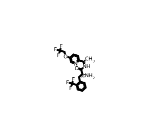 C[C@@H](NC(=O)[C@H](N)Cc1ccccc1C(F)(F)F)c1ccc(OCC(F)(F)F)cn1